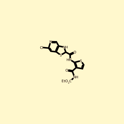 CCOC(=O)NC(=O)c1ccsc1NC(=O)C1Nc2cnc(Cl)cc2S1